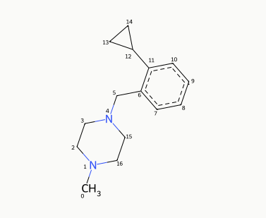 CN1CCN(Cc2cc[c]cc2C2CC2)CC1